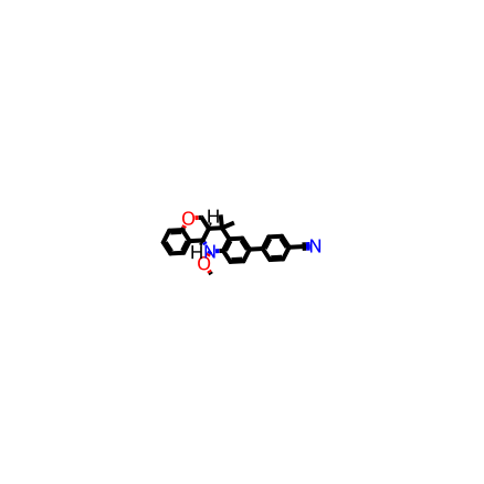 CON1c2ccc(-c3ccc(C#N)cc3)cc2C(C)(C)[C@@H]2COc3ccccc3[C@H]21